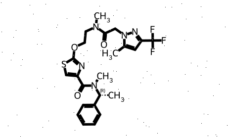 Cc1cc(C(F)(F)F)nn1CC(=O)N(C)CCOc1nc(C(=O)N(C)[C@H](C)c2ccccc2)cs1